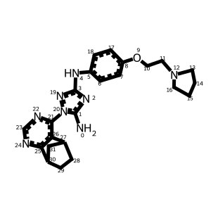 Nc1nc(Nc2ccc(OCCN3CCCC3)cc2)nn1-c1ncnc2c1C1CCC2C1